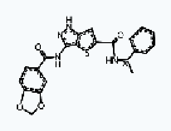 C[C@@H](NC(=O)c1cc2[nH]nc(NC(=O)c3ccc4c(c3)OCO4)c2s1)c1ccccc1